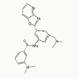 CN(C)Cc1cc(NC(=O)c2cccc(N(C)C)c2)cc(-c2nc3ncccc3o2)c1